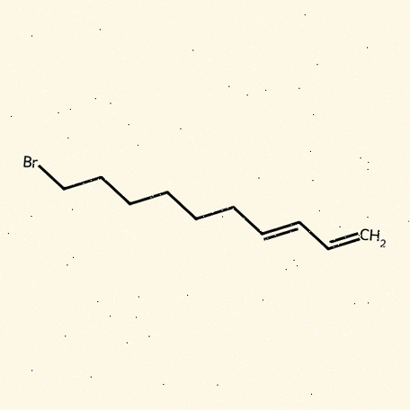 C=CC=CCCCCCCBr